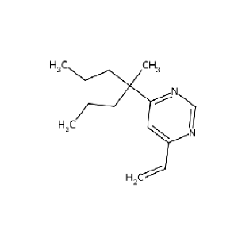 C=Cc1cc(C(C)(CCC)CCC)ncn1